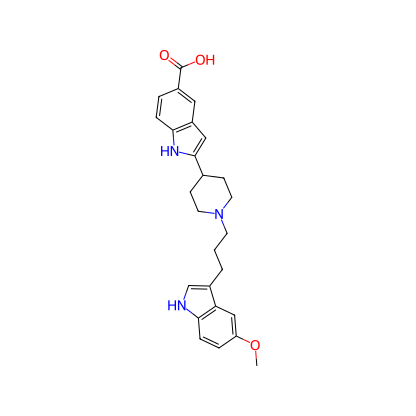 COc1ccc2[nH]cc(CCCN3CCC(c4cc5cc(C(=O)O)ccc5[nH]4)CC3)c2c1